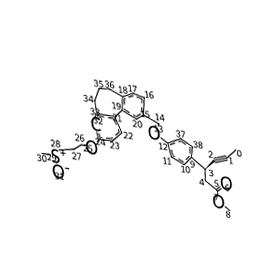 CC#C[C@@H](CC(=O)OC)c1ccc(OCc2ccc3c(c2)-c2ccc(OCCC[S+](C)[O-])cc2CCC3)cc1